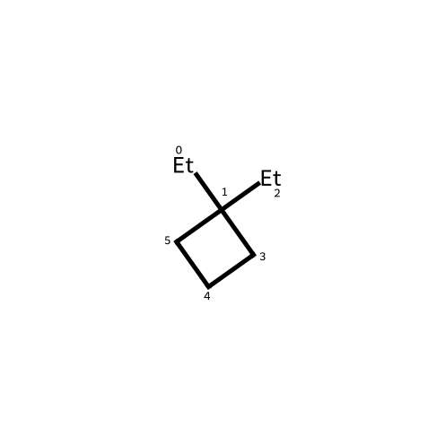 CCC1(CC)CCC1